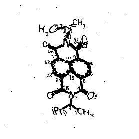 CC(C)C(C)N1C(=O)c2ccc3c4c(ccc(c24)C1=O)C(=O)N(N(C)C)C3=O